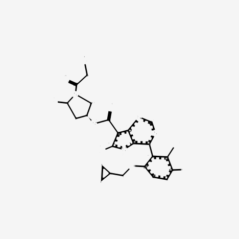 Cc1ccc(OCC2CC2)c(-c2ncnc3c(C(=O)N[C@H]4CC(C)N(C(=O)CO)C4)c(C)[nH]c23)c1F